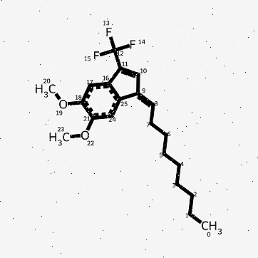 CCCCCCCC/C=C1/C=C(C(F)(F)F)c2cc(OC)c(OC)cc21